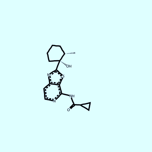 C[C@H]1CCCC[C@]1(O)c1nc2ccnc(NC(=O)C3CC3)c2s1